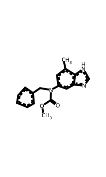 COC(=O)N(Cc1ccccc1)c1cc(C)c2[nH]cnc2c1